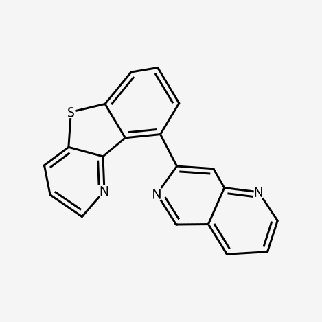 c1cnc2cc(-c3cccc4sc5cccnc5c34)ncc2c1